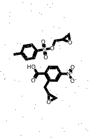 Cc1ccc(S(=O)(=O)OCC2CO2)cc1.O=C(O)c1ccc([N+](=O)[O-])cc1CC1CO1